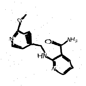 COc1cc(CNc2ncccc2C(N)=O)ccn1